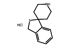 Cl.c1ccc2c(c1)CSC21CCNCC1